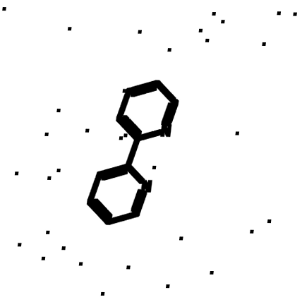 [c]1ccnc(-c2ccccn2)c1